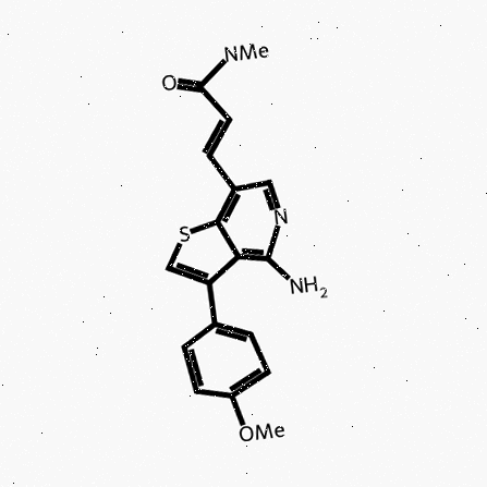 CNC(=O)C=Cc1cnc(N)c2c(-c3ccc(OC)cc3)csc12